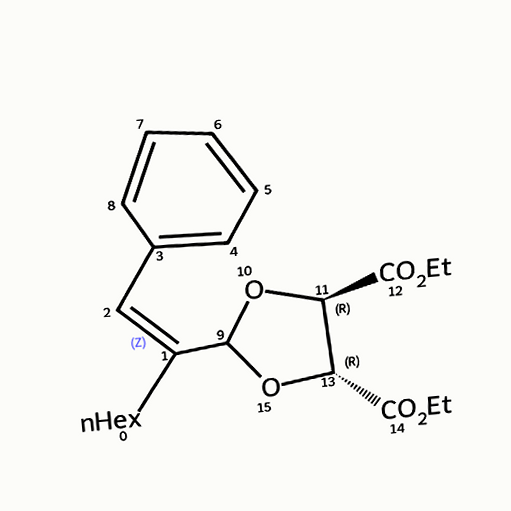 CCCCCC/C(=C/c1ccccc1)C1O[C@@H](C(=O)OCC)[C@H](C(=O)OCC)O1